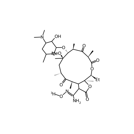 [3H]ON=C(N)C1C(=O)O[C@@]2(C)C1[C@@H](C)C(=O)[C@H](C)C[C@@](C)(OC)[C@H](OC1OC(C)CC(N(C)C)C1O)[C@@H](C)C(=O)[C@@H](C)C(=O)O[C@H]2CC